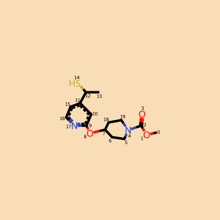 COC(=O)N1CCC(Oc2cc(C(C)S)ccn2)CC1